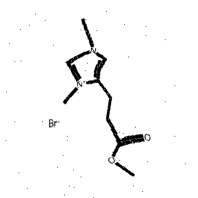 COC(=O)CCc1cn(C)c[n+]1C.[Br-]